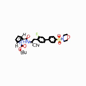 CC(C)(C)OC(=O)N1[C@@H]2CC[C@@H](C2)[C@H]1C(=O)N[C@H](C#N)Cc1ccc(-c2ccc(S(=O)(=O)N3CCOCC3)cc2)cc1F